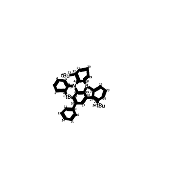 CC(C)(C)c1ccccc1N1c2cc(-c3ccccc3)cc3c2B(c2cccc(C(C)(C)C)c2-3)c2cccc(C(C)(C)C)c21